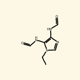 CCn1cnc(NC=O)c1NC=O